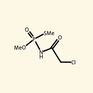 COP(=O)(NC(=O)CCl)SC